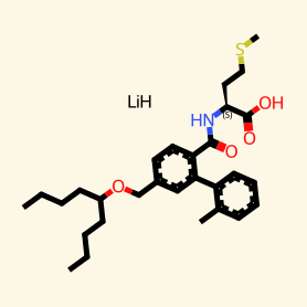 CCCCC(CCCC)OCc1ccc(C(=O)N[C@@H](CCSC)C(=O)O)c(-c2ccccc2C)c1.[LiH]